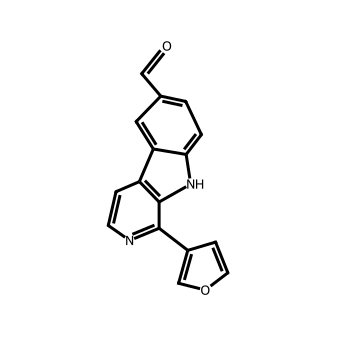 O=Cc1ccc2[nH]c3c(-c4ccoc4)nccc3c2c1